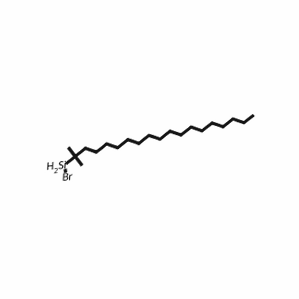 CCCCCCCCCCCCCCCCCC(C)(C)[SiH2]Br